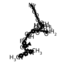 Cc1ccc(N2CCC[C@H](N(Cc3ccnc(C)c3)Cc3cn(C4CC4)c4cc(OCCNC(=O)OCc5ccc(NC(=O)[C@H](CCCNC(N)=O)NC(=O)[C@@H](NC(=O)CCOCCOCCOCCN=[N+]=[N-])C(C)C)cc5)c(F)cc4c3=O)C2)cn1